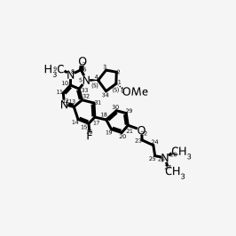 CO[C@H]1CC[C@H](n2c(=O)n(C)c3cnc4cc(F)c(-c5ccc(OCCCN(C)C)cc5)cc4c32)C1